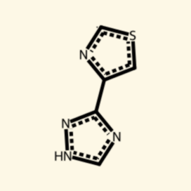 [c]1nc(-c2nc[nH]n2)cs1